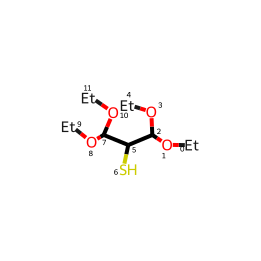 CCOC(OCC)C(S)C(OCC)OCC